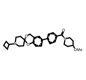 COC1CCN(C(=O)c2ccc(-c3ccc4c(c3)COC3(CCN(C5CCC5)CC3)O4)cc2)CC1